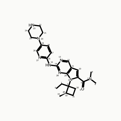 CCC1(n2c(C(=O)N(C)C)cc3cnc(Nc4ccc(N5CCNCC5)cn4)nc32)CC[C@H]1C